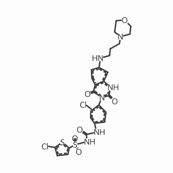 O=C(Nc1ccc(-n2c(=O)[nH]c3cc(NCCCN4CCOCC4)ccc3c2=O)c(Cl)c1)NS(=O)(=O)c1ccc(Cl)s1